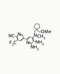 COCC1(CN(C)c2cc(-c3cnc(C#N)c(C(F)(F)F)c3)nc(N)c2N)CCCC1